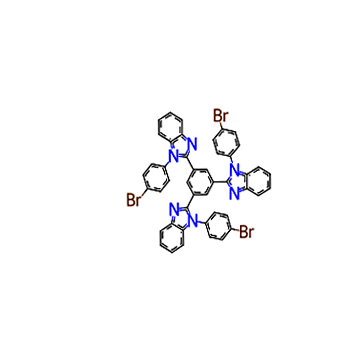 Brc1ccc(-n2c(-c3cc(-c4nc5ccccc5n4-c4ccc(Br)cc4)cc(-c4nc5ccccc5n4-c4ccc(Br)cc4)c3)nc3ccccc32)cc1